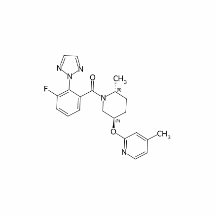 Cc1ccnc(O[C@@H]2CC[C@@H](C)N(C(=O)c3cccc(F)c3-n3nccn3)C2)c1